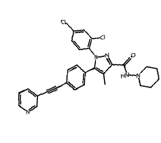 Cc1c(C(=O)NN2CCCCC2)nn(-c2ccc(Cl)cc2Cl)c1-c1ccc(C#Cc2cccnc2)cc1